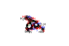 CCCCOc1ccc(NC(=O)Oc2cc(O)c3c(c2)[C@@H](C(=O)O)NC(=O)[C@H]2NC(=O)[C@H](CC(=O)[C@@H]4NC(=O)[C@H](CC(N)=O)CC(=O)[C@H](NC(=O)[C@H](CC)CC(C)C)[C@H](O)c5ccc(c(Cl)c5)Oc5cc4cc(c5O[C@@H]4O[C@H](CO)[C@@H](O)[C@H](O)[C@H]4O[C@H]4C[C@](C)(N)[C@H](O)[C@H](C)O4)Oc4ccc(cc4Cl)[C@H]2O)c2ccc(O)c-3c2)cc1